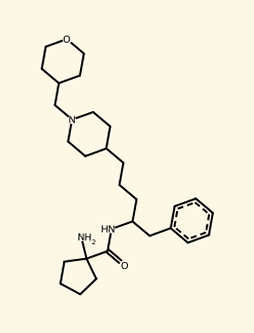 NC1(C(=O)NC(CCCC2CCN(CC3CCOCC3)CC2)Cc2ccccc2)CCCC1